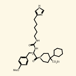 CCOC(=O)C1(C2CCCCC2)CCN(C(=O)[C@@H](Cc2ccc(OC)cc2)NC(=O)NCCCCCc2c[nH]cn2)CC1